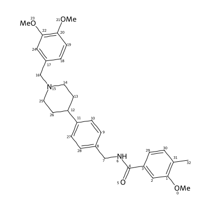 COc1cc(C(=O)NCc2ccc(C3CCN(Cc4ccc(OC)c(OC)c4)CC3)cc2)ccc1C